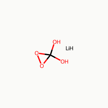 OC1(O)OO1.[LiH]